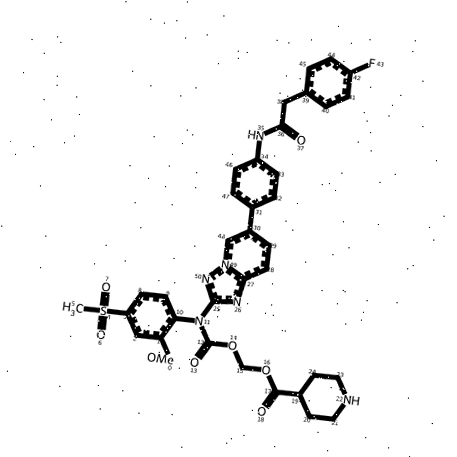 COc1cc(S(C)(=O)=O)ccc1N(C(=O)OCOC(=O)C1CCNCC1)c1nc2ccc(-c3ccc(NC(=O)Cc4ccc(F)cc4)cc3)cn2n1